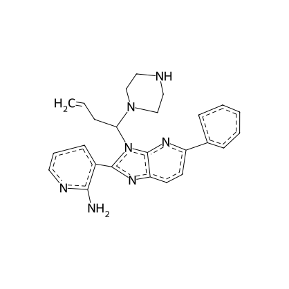 C=CCC(N1CCNCC1)n1c(-c2cccnc2N)nc2ccc(-c3ccccc3)nc21